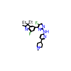 CCC1(CC)C(C)=Nc2c(F)cc(-c3nc(Nc4ccc(C5CCN(C)CC5)cn4)ncc3F)cc21